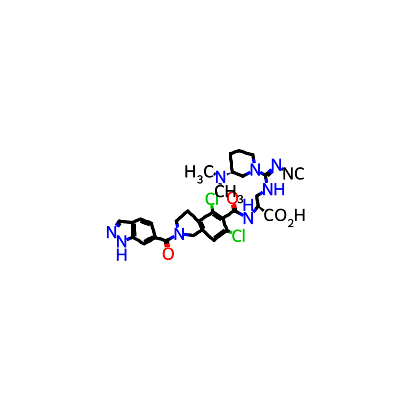 [C-]#[N+]/N=C(\NC[C@H](NC(=O)c1c(Cl)cc2c(c1Cl)CCN(C(=O)c1ccc3cn[nH]c3c1)C2)C(=O)O)N1CCC[C@@H](N(C)C)C1